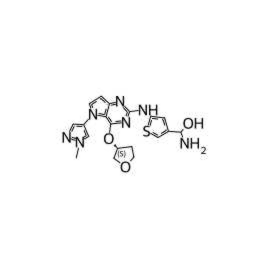 Cn1cc(-n2ccc3nc(Nc4cc(C(N)O)cs4)nc(O[C@H]4CCOC4)c32)cn1